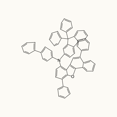 c1ccc(-c2ccc(N(c3ccc4c(c3)C(c3ccccc3)(c3ccccc3)c3ccccc3-4)c3ccc(-c4ccccc4)c4oc5c6ccccc6c(-c6ccccc6)cc5c34)cc2)cc1